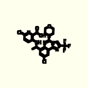 CC(Nc1ccc(Cl)nc1C(=O)O)c1cc(Cl)cc2c1nc(N1CCOCC1)n1cc(C(F)(F)F)nc21